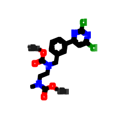 CN(CCN(Cc1cccc(-c2cc(Cl)nc(Cl)n2)c1)C(=O)OC(C)(C)C)C(=O)OC(C)(C)C